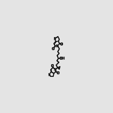 O=C1C=C2SCCC2C(=O)N1CCCCC(O)CCCC1(N2C(=O)C=C3SCCC3C2=O)CC1